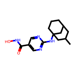 CC1CC2CCCC(Nc3ncc(C(=O)NO)cn3)(C1)C2